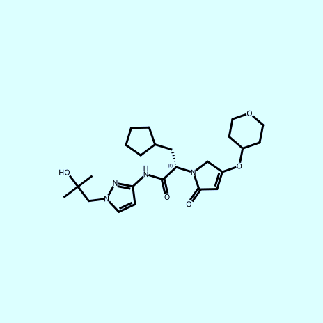 CC(C)(O)Cn1ccc(NC(=O)[C@H](CC2CCCC2)N2CC(OC3CCOCC3)=CC2=O)n1